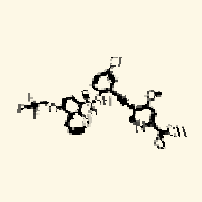 COc1cc(C(=O)O)ncc1C#Cc1cc(Cl)ccc1NS(=O)(=O)c1ccc(OCC(F)(F)F)c2cccnc12